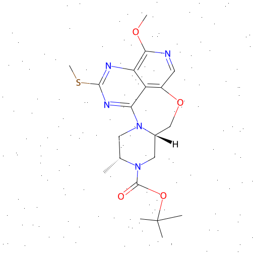 COc1ncc2c3c(nc(SC)nc13)N1C[C@@H](C)N(C(=O)OC(C)(C)C)C[C@H]1CO2